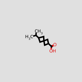 CC(C)C1CC2(CC(C(=O)O)C2)C1